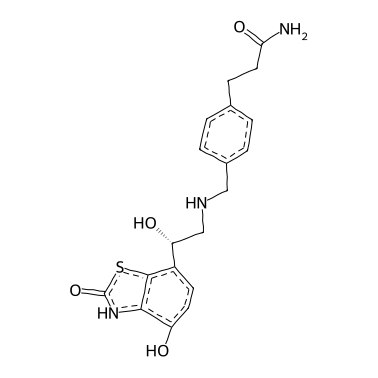 NC(=O)CCc1ccc(CNC[C@@H](O)c2ccc(O)c3[nH]c(=O)sc23)cc1